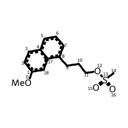 COc1ccc2cccc(CCCOS(C)(=O)=O)c2c1